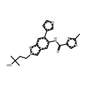 Cc1nc(C(=O)Nc2cc3cn(CCC(C)(C)O)nc3cc2-c2ccoc2)cs1